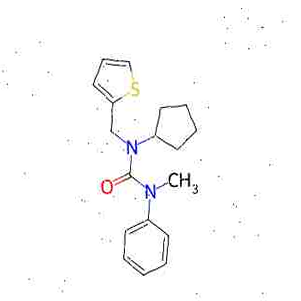 CN(C(=O)N(Cc1cccs1)C1CCCC1)c1ccccc1